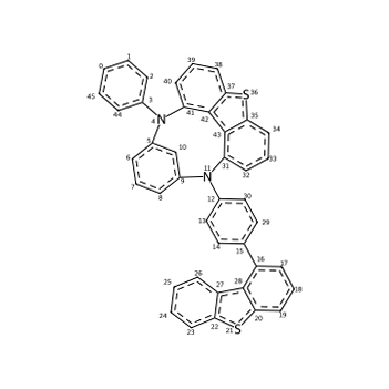 c1ccc(N2c3cccc(c3)N(c3ccc(-c4cccc5sc6ccccc6c45)cc3)c3cccc4sc5cccc2c5c34)cc1